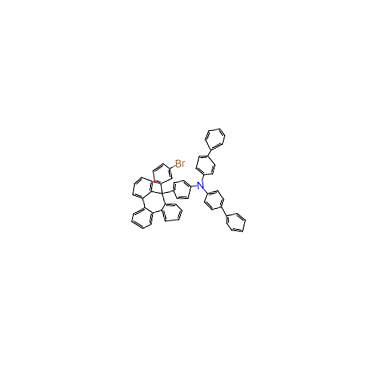 Brc1cccc(C2(c3ccc(N(c4ccc(-c5ccccc5)cc4)c4ccc(-c5ccccc5)cc4)cc3)c3ccccc3-c3ccccc3-c3ccccc32)c1